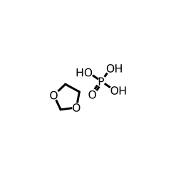 C1COCO1.O=P(O)(O)O